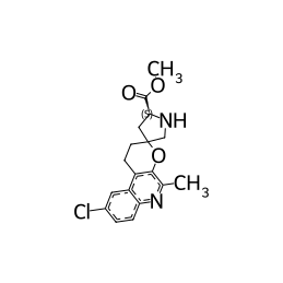 COC(=O)[C@@H]1CC2(CCc3c(c(C)nc4ccc(Cl)cc34)O2)CN1